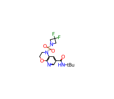 CC(C)(C)NC(=O)c1cnc2c(c1)N(S(=O)(=O)N1CC(F)(F)C1)CCO2